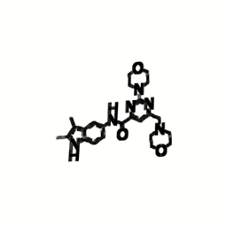 Cc1[nH]c2ccc(NC(=O)c3cc(CN4CCOCC4)nc(N4CCOCC4)n3)cc2c1C